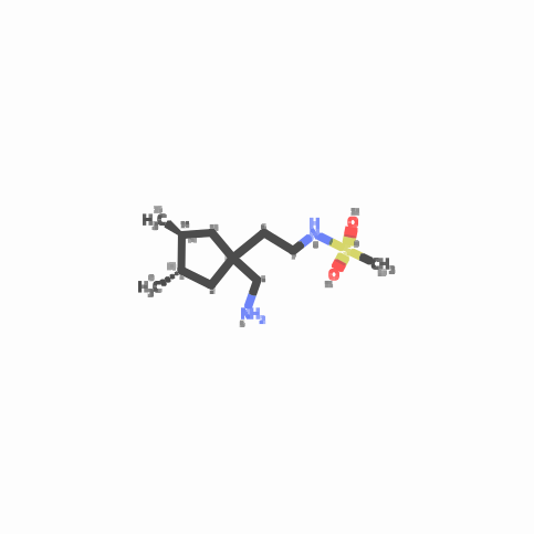 C[C@H]1CC(CN)(CCNS(C)(=O)=O)C[C@@H]1C